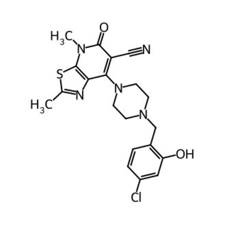 Cc1nc2c(N3CCN(Cc4ccc(Cl)cc4O)CC3)c(C#N)c(=O)n(C)c2s1